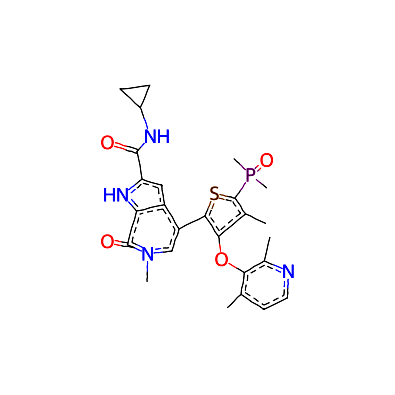 Cc1ccnc(C)c1Oc1c(-c2cn(C)c(=O)c3[nH]c(C(=O)NC4CC4)cc23)sc(P(C)(C)=O)c1C